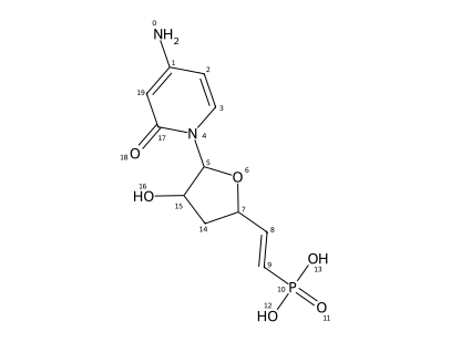 Nc1ccn(C2OC(/C=C/P(=O)(O)O)CC2O)c(=O)c1